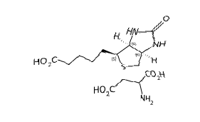 NC(CC(=O)O)C(=O)O.O=C(O)CCCC[C@@H]1SC[C@@H]2NC(=O)N[C@@H]21